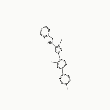 Cc1ccc(-c2ccc(-c3cc(NCc4ccccn4)n(C)n3)c(C)c2)cc1